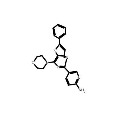 Nc1ccc(-c2nc(N3CCOCC3)c3sc(-c4ccccc4)cc3n2)cn1